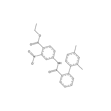 CCOC(=O)c1ccc(NC(=O)c2ccccc2-c2ccc(C)cc2C)cc1[N+](=O)[O-]